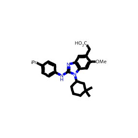 COc1cc2c(cc1CC(=O)O)nc(Nc1ccc(C(C)C)cc1)n2C1CCCC(C)(C)C1